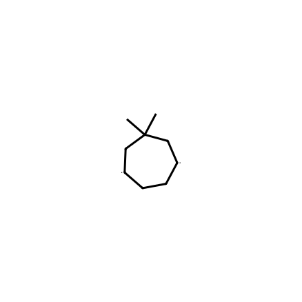 CC1(C)C[CH]CC[CH]C1